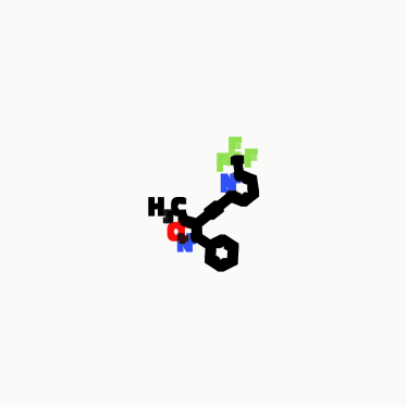 Cc1onc(-c2ccccc2)c1C#Cc1cccc(C(F)(F)F)n1